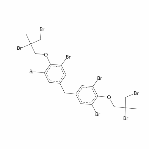 CC(Br)(CBr)COc1c(Br)cc(Cc2cc(Br)c(OCC(C)(Br)CBr)c(Br)c2)cc1Br